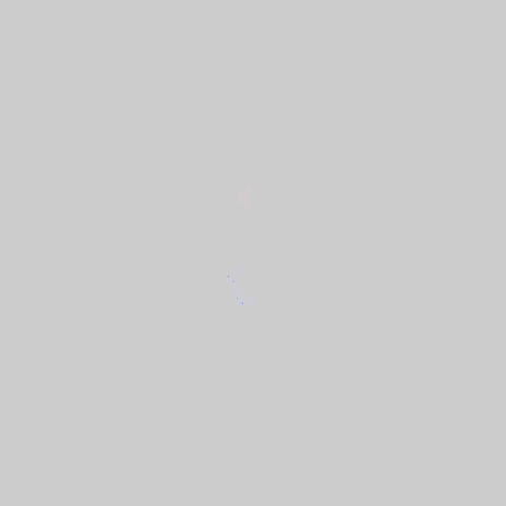 CCCCOC=Cc1ccc(Cl)nn1